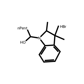 Br.CCCCCC(O)N1c2ccccc2C(C)(C)C1C